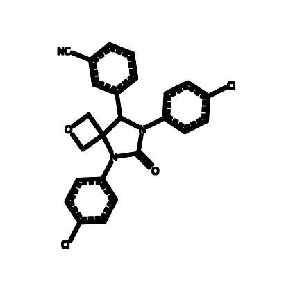 N#Cc1cccc(C2N(c3ccc(Cl)cc3)C(=O)N(c3ccc(Cl)cc3)C23COC3)c1